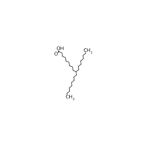 CCCCCCCCCC(CCCCCCCC)CCCCCCCCC(=O)O